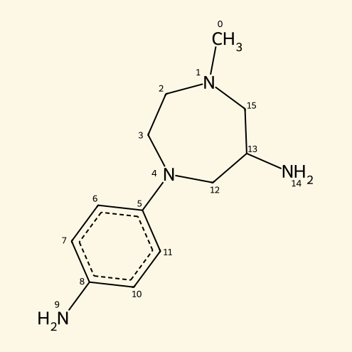 CN1CCN(c2ccc(N)cc2)CC(N)C1